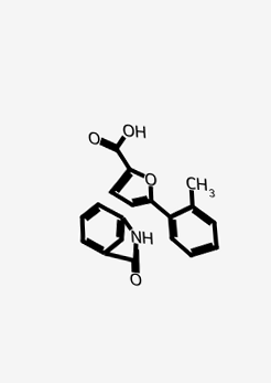 Cc1ccccc1-c1ccc(C(=O)O)o1.O=C1Nc2cccc1c2